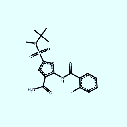 CN(C(C)(C)C)S(=O)(=O)c1cc(C(N)=O)c(NC(=O)c2ccccc2F)s1